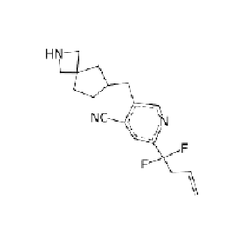 C=CCC(F)(F)c1cc(C#N)c(CC2CCC3(CNC3)C2)cn1